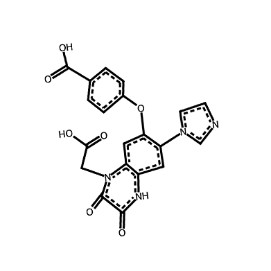 O=C(O)Cn1c(=O)c(=O)[nH]c2cc(-n3ccnc3)c(Oc3ccc(C(=O)O)cc3)cc21